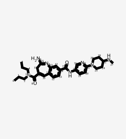 CCCN(CCC)C(=O)C1=Cc2ccc(C(=O)Nc3ccc(N4CCC(NC)CC4)nc3)cc2N=C(N)C1